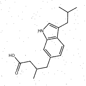 CC(C)Cc1c[nH]c2cc(CC(C)CC(=O)O)ccc12